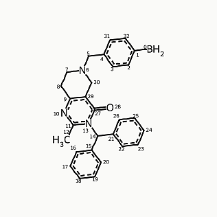 Bc1ccc(CN2CCc3nc(C)n(C(c4ccccc4)c4ccccc4)c(=O)c3C2)cc1